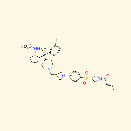 C/C=C/C(=O)N1CC(S(=O)(=O)c2ccc(N3CC(CN4CCC(C(C#N)(c5cccc(F)c5)[C@H]5CCC[C@@H]5NC(=O)O)CC4)C3)cc2)C1